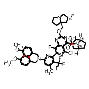 COc1ccc(CN(Cc2ccc(OC)cc2)c2cc(C)c(C(F)(F)F)c(-c3nc(Cl)c4c(N5C[C@H]6CC[C@@H](C5)N6C(=O)O)nc(OC[C@@]56CCCN5C[C@H](F)C6)nc4c3F)n2)cc1